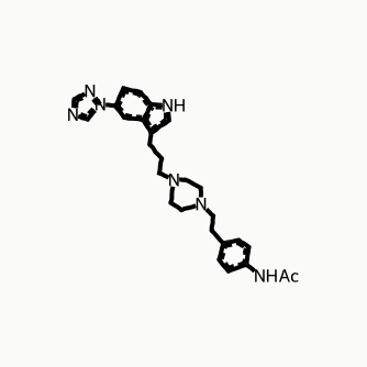 CC(=O)Nc1ccc(CCN2CCN(CCCc3c[nH]c4ccc(-n5cncn5)cc34)CC2)cc1